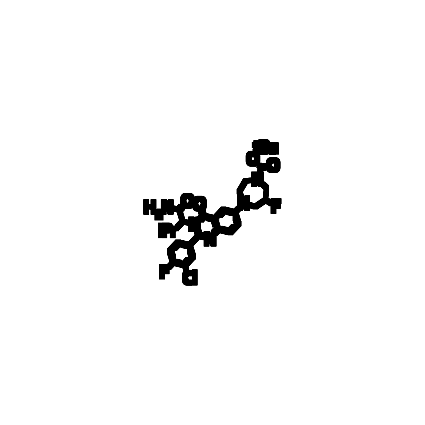 CC(C)C(C(N)=O)n1c(-c2ccc(F)c(Cl)c2)nc2ccc(N3CCN(C(=O)OC(C)(C)C)CC(F)C3)cc2c1=O